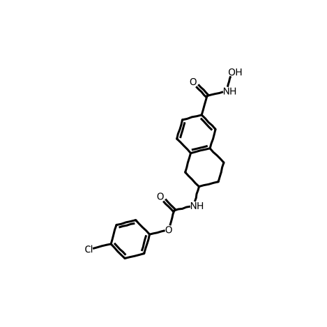 O=C(NC1CCc2cc(C(=O)NO)ccc2C1)Oc1ccc(Cl)cc1